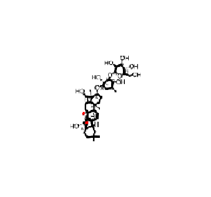 C[C@H]1C[C@@H](O[C@H]2CC[C@@]3(C)[C@@H](CC[C@]4(C)[C@@H]3C=C[C@]35OC[C@@]6(CCC(C)(C)C[C@H]63)[C@@H](O)C[C@]54C)[C@]2(C)CO)[C@H](O)[C@@H](O[C@@H]2OC(CO)[C@@H](O)[C@@H](O)C2O)[C@H]1O